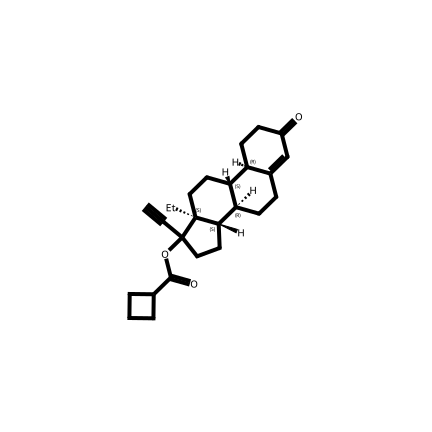 C#CC1(OC(=O)C2CCC2)CC[C@H]2[C@@H]3CCC4=CC(=O)CC[C@@H]4[C@H]3CC[C@@]21CC